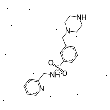 O=S(=O)(NCc1ccccn1)c1cccc(CN2CCNCC2)c1